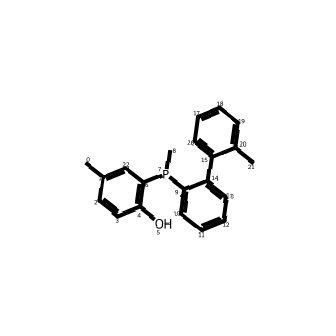 Cc1ccc(O)c(P(C)c2ccccc2-c2ccccc2C)c1